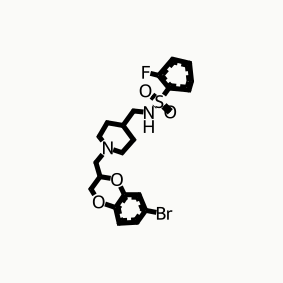 O=S(=O)(NCC1CCN(CC2COc3ccc(Br)cc3O2)CC1)c1ccccc1F